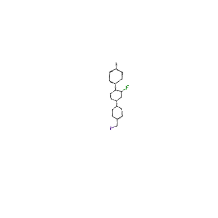 CC1CCC(C2CCC(C3CCC(CI)CC3)CC2F)CC1